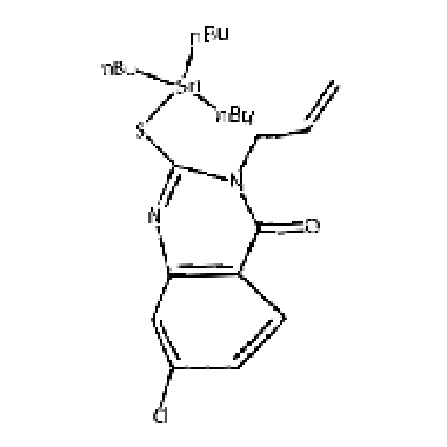 C=CCn1c([S][Sn]([CH2]CCC)([CH2]CCC)[CH2]CCC)nc2cc(Cl)ccc2c1=O